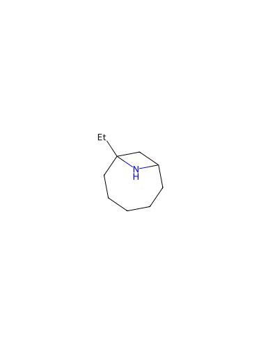 CCC12CCCCCC(C1)N2